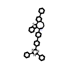 C1=C(/c2ccc(-c3ccc(-c4nc(-c5ccccc5)nc(-c5ccccc5)n4)cc3)cc2)c2c(sc3ccccc23)-c2ccc(-c3ccccc3)cc2CC/1